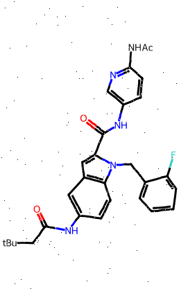 CC(=O)Nc1ccc(NC(=O)c2cc3cc(NC(=O)CC(C)(C)C)ccc3n2Cc2ccccc2F)cn1